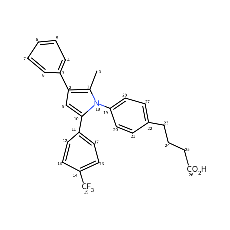 Cc1c(-c2ccccc2)cc(-c2ccc(C(F)(F)F)cc2)n1-c1ccc(CCCC(=O)O)cc1